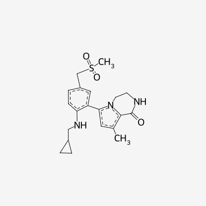 Cc1cc(-c2cc(CS(C)(=O)=O)ccc2NCC2CC2)n2c1C(=O)NCC2